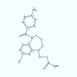 COC(=O)COC1CCCN(C(=O)c2ccc([N+](=O)[O-])nc2)c2ccc(Cl)cc21